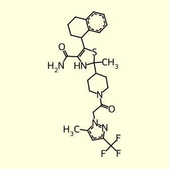 Cc1cc(C(F)(F)F)nn1CC(=O)N1CCC(C2(C)NC(C(N)=O)=C(C3CCCc4ccccc43)S2)CC1